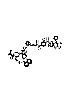 C=C(F)C(=O)N1CCN(c2nc(OC[C@@H]3CCCN3CCCNC(=O)c3ccc(Nc4ncc5c(n4)N(C4CCCC4)[C@H](CC)C(=O)N5C)c(OC)c3)nc3c2CCN(c2cccc4cccc(Cl)c24)C3)C[C@@H]1CC#N